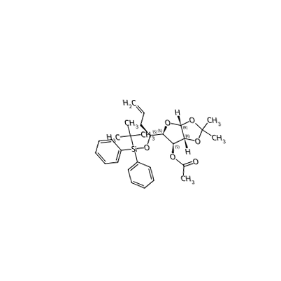 C=CC[C@H](O[Si](c1ccccc1)(c1ccccc1)C(C)(C)C)[C@H]1O[C@@H]2OC(C)(C)O[C@@H]2[C@H]1OC(C)=O